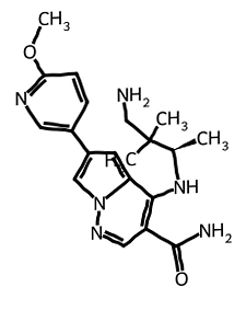 COc1ccc(-c2cc3c(N[C@H](C)C(C)(C)CN)c(C(N)=O)cnn3c2)cn1